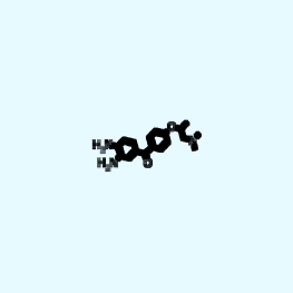 CC(CN(C)C)Oc1ccc(C(=O)c2ccc(N)c(N)c2)cc1